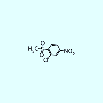 CS(=O)(=O)c1c[c]c([N+](=O)[O-])cc1Cl